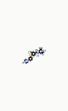 CN1CCN(c2cccc(Oc3ccc(C(=O)NC4CC(C)(C)NC(C)(C)C4)cc3Cl)c2)CC1